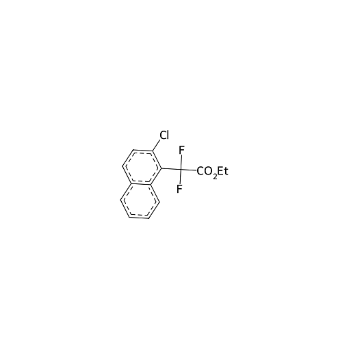 CCOC(=O)C(F)(F)c1c(Cl)ccc2ccccc12